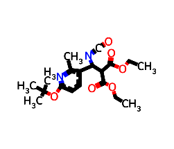 CCOC(=O)C(C(=O)OCC)C(N=C=O)c1ccc(OC(C)(C)C)nc1C